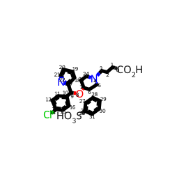 O=C(O)CCCN1CCC(OC(c2ccc(Cl)cc2)c2ccccn2)CC1.O=S(=O)(O)c1ccccc1